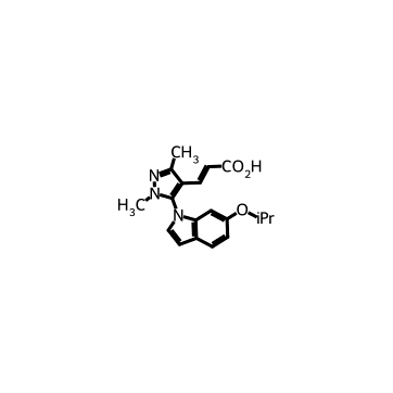 Cc1nn(C)c(-n2ccc3ccc(OC(C)C)cc32)c1/C=C/C(=O)O